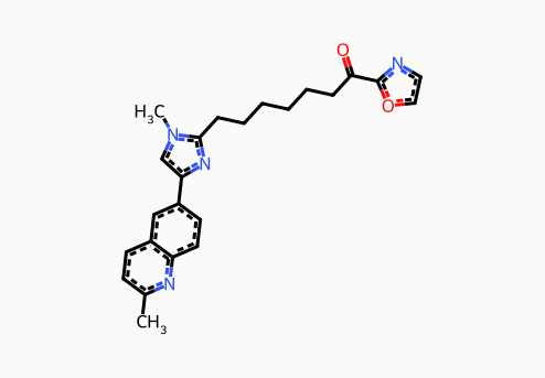 Cc1ccc2cc(-c3cn(C)c(CCCCCCC(=O)c4ncco4)n3)ccc2n1